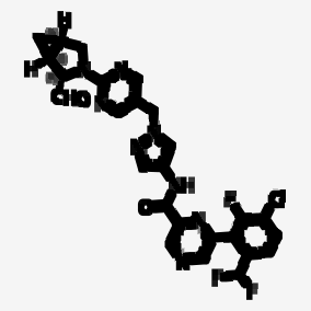 O=C[C@@H]1[C@@H]2C[C@@H]2CN1c1ncc(Cn2cc(NC(=O)c3cncc(-c4c(C(F)F)ccc(Cl)c4F)n3)cn2)cn1